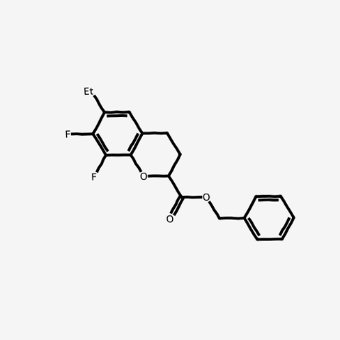 CCc1cc2c(c(F)c1F)OC(C(=O)OCc1ccccc1)CC2